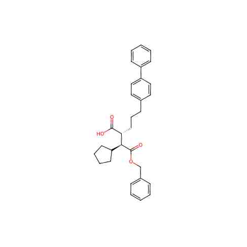 O=C(O)[C@H](CCCc1ccc(-c2ccccc2)cc1)[C@@H](C(=O)OCc1ccccc1)C1CCCC1